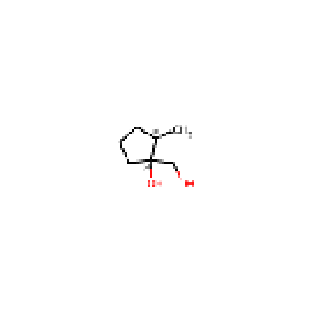 C[C@@H]1CCC[C@@]1(O)CO